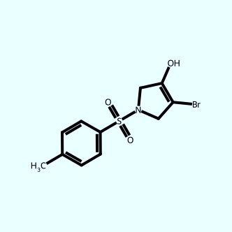 Cc1ccc(S(=O)(=O)N2CC(O)=C(Br)C2)cc1